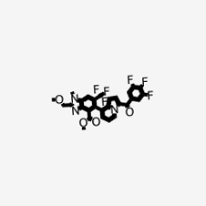 COCc1nc2c(C(=O)OC)c(-c3cccn4c(C(=O)c5cc(F)c(F)c(F)c5)ccc34)c(C(F)(F)F)cc2n1C